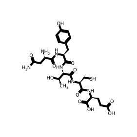 C[C@@H](O)[C@H](NC(=O)[C@H](Cc1ccc(O)cc1)NC(=O)[C@@H](N)CC(N)=O)C(=O)N[C@@H](CS)C(=O)N[C@@H](CCC(=O)O)C(=O)O